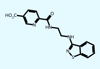 O=C(O)c1ccc(C(=O)NCCNc2nsc3ccccc23)nc1